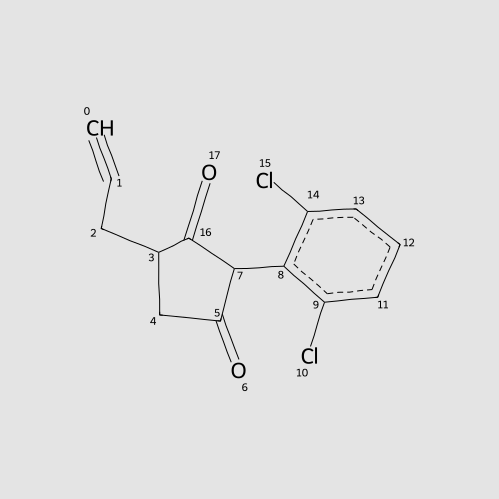 C#CCC1CC(=O)C(c2c(Cl)cccc2Cl)C1=O